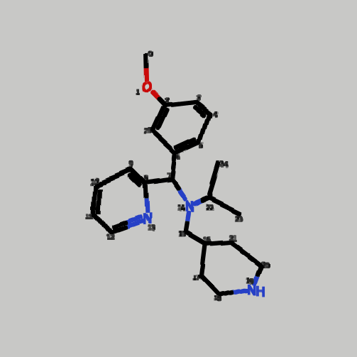 COc1cccc(C(c2ccccn2)N(CC2CCNCC2)C(C)C)c1